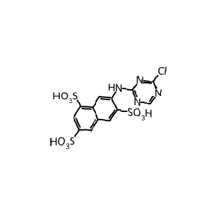 O=S(=O)(O)c1cc(S(=O)(=O)O)c2cc(Nc3ncnc(Cl)n3)c(S(=O)(=O)O)cc2c1